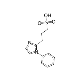 O=S(=O)(O)CCCc1nccn1-c1ccccc1